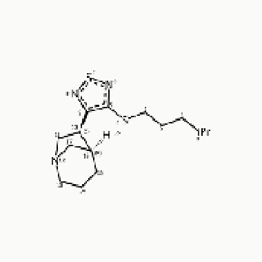 CC(C)CCCSc1nsnc1[C@@H]1CN2CCC[C@H]1C2